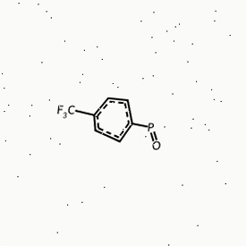 O=Pc1ccc(C(F)(F)F)cc1